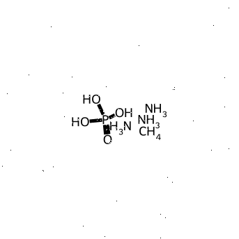 C.N.N.N.O=P(O)(O)O